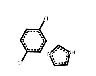 Clc1ccc(Cl)cc1.c1c[nH]cn1